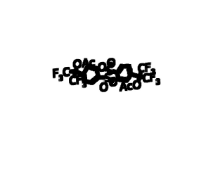 CC(=O)OC(c1ccc(S(=O)(=O)S(=O)(=O)c2ccc(C(OC(C)=O)(C(F)(F)F)C(F)(F)F)cc2)cc1)(C(F)(F)F)C(F)(F)F